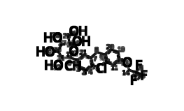 C[C@@]1(c2ccc(Cl)c(Cc3ccc(OCC(F)(F)F)cc3)c2)OC(O)(CO)[C@@H](O)[C@H](O)[C@H]1O